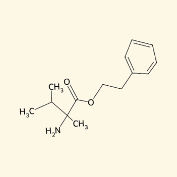 CC(C)C(C)(N)C(=O)OCCc1ccccc1